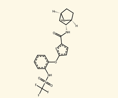 O=C(N[C@@H]1C[C@H]2CC[C@@H]1N2)c1ccc(Oc2ccccc2NS(=O)(=O)C(F)(F)F)s1